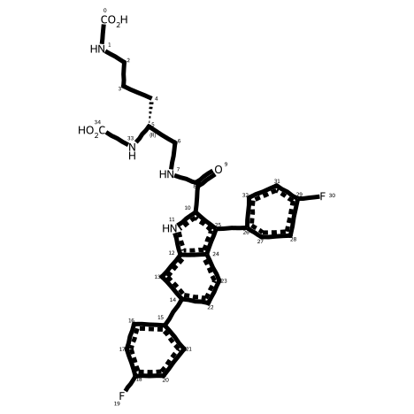 O=C(O)NCCC[C@H](CNC(=O)c1[nH]c2cc(-c3ccc(F)cc3)ccc2c1-c1ccc(F)cc1)NC(=O)O